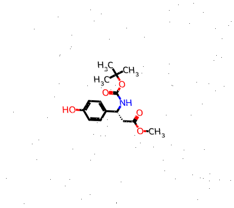 COC(=O)C[C@@H](NC(=O)OC(C)(C)C)c1ccc(O)cc1